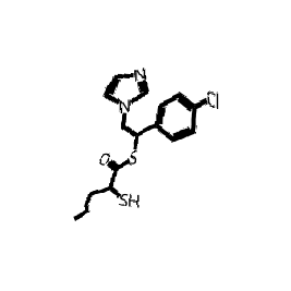 CCCC(S)C(=O)SC(Cn1ccnc1)c1ccc(Cl)cc1